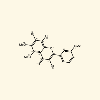 COc1cccc(-c2oc3c(O)c(O)c(OC)c(OC)c3c(=O)c2O)c1